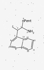 CCCCCC(N)C(C)c1cccc2ccccc12